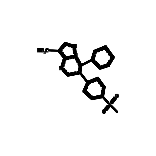 CS(=O)(=O)c1ccc(-c2cnc3c(C(=O)O)cnn3c2-c2ccccc2)cc1